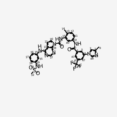 Cc1cn(-c2cc(C(=O)Nc3ccc(C)c(NC(=O)n4ccc5c(Nc6cccc(NS(C)(=O)=O)c6)ncnc54)c3)cc(C(F)(F)F)c2)cn1